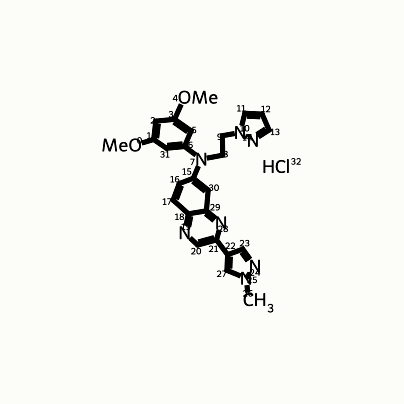 COc1cc(OC)cc(N(CCn2cccn2)c2ccc3ncc(-c4cnn(C)c4)nc3c2)c1.Cl